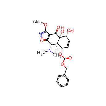 CCCCOc1noc2c1C(=O)[C@]1(O)[C@@H]([C@@H](OC(=O)OCc3ccccc3)C=C[C@H]1O)[C@@H]2N(C)C